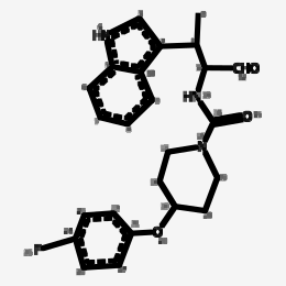 CC(c1c[nH]c2ccccc12)C(C=O)NC(=O)N1CCC(Oc2ccc(F)cc2)CC1